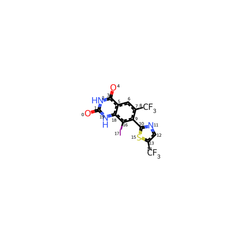 O=c1[nH]c(=O)c2cc(C(F)(F)F)c(-c3ncc(C(F)(F)F)s3)c(I)c2[nH]1